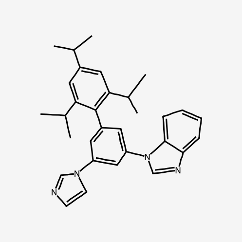 CC(C)c1cc(C(C)C)c(-c2cc(-n3ccnc3)cc(-n3cnc4ccccc43)c2)c(C(C)C)c1